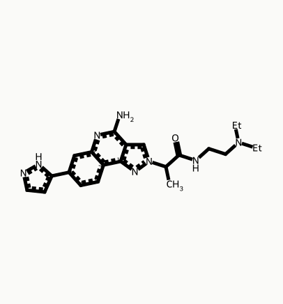 CCN(CC)CCNC(=O)C(C)n1cc2c(N)nc3cc(-c4ccn[nH]4)ccc3c2n1